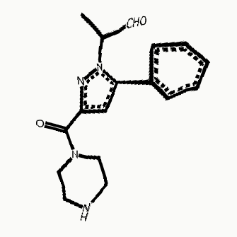 CC(C=O)n1nc(C(=O)N2CCNCC2)cc1-c1ccccc1